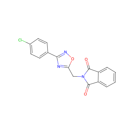 O=C1c2ccccc2C(=O)N1Cc1nc(-c2ccc(Cl)cc2)no1